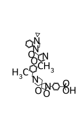 Cc1cc(Oc2ccncc2C(=O)N2CCN(C3CC3)c3ccccc32)c(C)cc1CN1CCC2(CC1)CN(c1ccc(C(=O)O)cc1)C(=O)C2=O